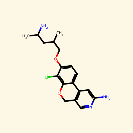 CC(N)CC(C)COc1ccc2c(c1Cl)OCc1cnc(N)cc1-2